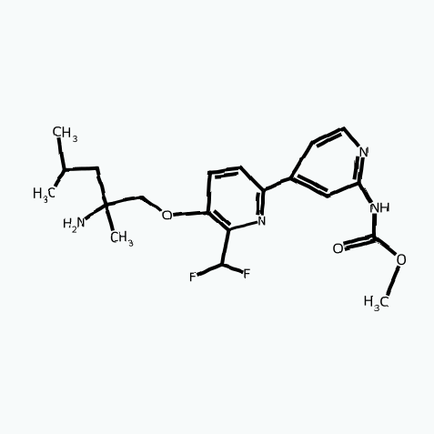 COC(=O)Nc1cc(-c2ccc(OCC(C)(N)CC(C)C)c(C(F)F)n2)ccn1